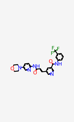 O=C(/C=C/c1cncc(C(=O)Nc2cccc(C(F)(F)F)c2)c1)Nc1ccc(N2CCOCC2)cn1